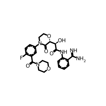 N=C(N)c1ccccc1NC(=O)[C@H](O)[C@H]1OCCN(c2ccc(F)c(C(=O)N3CCOCC3)c2)C1=O